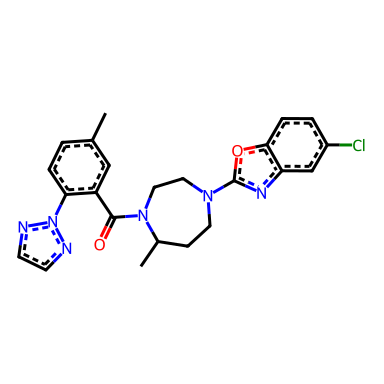 Cc1ccc(-n2nccn2)c(C(=O)N2CCN(c3nc4cc(Cl)ccc4o3)CCC2C)c1